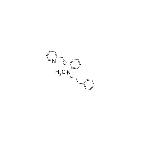 CN(CCCc1ccccc1)c1ccccc1OCc1ccccn1